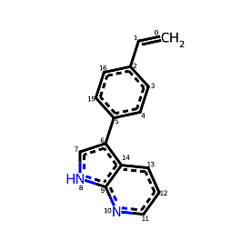 C=Cc1ccc(-c2c[nH]c3ncccc23)cc1